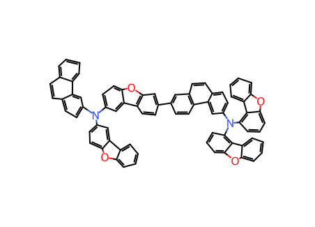 c1ccc2c(c1)ccc1ccc(N(c3ccc4oc5ccccc5c4c3)c3ccc4oc5cc(-c6ccc7c(ccc8ccc(N(c9cccc%10oc%11ccccc%11c9%10)c9cccc%10oc%11ccccc%11c9%10)cc87)c6)ccc5c4c3)cc12